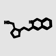 OC[C@@H]1CCCN1CCC1=Cc2ccccc2CN1